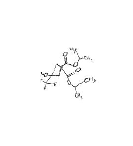 CC(C)OC(=O)C1(C(=O)OC(C)C)CC(O)(C(F)(F)F)C1